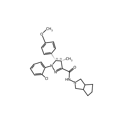 COc1ccc([C@@H]2[C@H](C)C(C(=O)NN3CC4CCCC4C3)=NN2c2ccccc2Cl)cc1